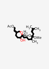 COC(CC=C(C)C)(OC)C(C)CCC[C@]1(C)OCC(=CCOC(C)=O)CC[C@@H]1O